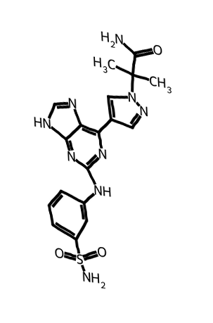 CC(C)(C(N)=O)n1cc(-c2nc(Nc3cccc(S(N)(=O)=O)c3)nc3[nH]cnc23)cn1